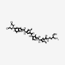 Cc1c(NC(=O)c2cc(NC(=O)c3cc4cc(N(CCCl)CCCl)ccc4[nH]3)cn2C)c[nH]c1C(=O)Nc1cc(C(=O)NCCC(N)=NO)n(C)c1